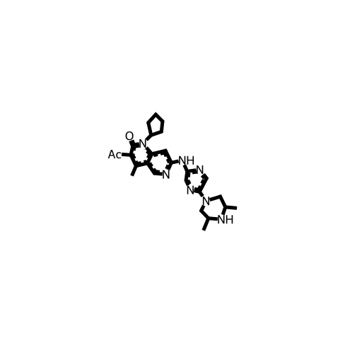 CC(=O)c1c(C)c2cnc(Nc3cnc(N4CC(C)NC(C)C4)cn3)cc2n(C2CCCC2)c1=O